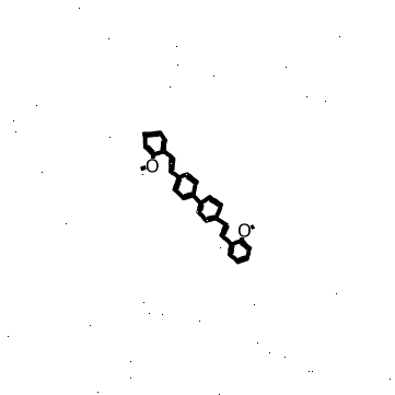 COc1ccccc1C=Cc1ccc(-c2ccc(C=Cc3ccccc3OC)cc2)cc1